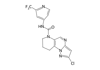 O=C(Nc1ccnc(C(F)(F)F)c1)N1CCCc2c1cnc1cc(Cl)nn21